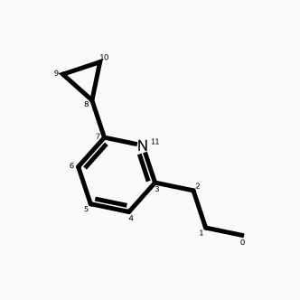 CCCc1cccc(C2CC2)n1